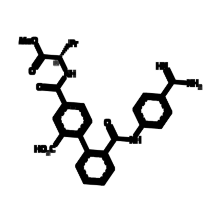 COC(=O)[C@@H](NC(=O)c1ccc(-c2ccccc2C(=O)Nc2ccc(C(=N)N)cc2)c(C(=O)O)c1)C(C)C